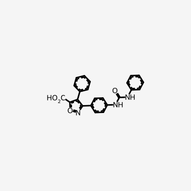 O=C(Nc1ccccc1)Nc1ccc(-c2noc(C(=O)O)c2-c2ccccc2)cc1